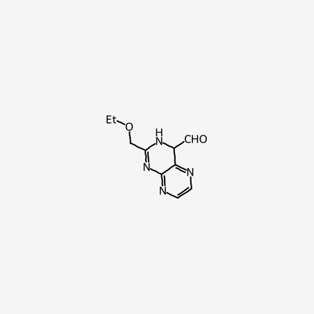 CCOCC1=Nc2nccnc2C(C=O)N1